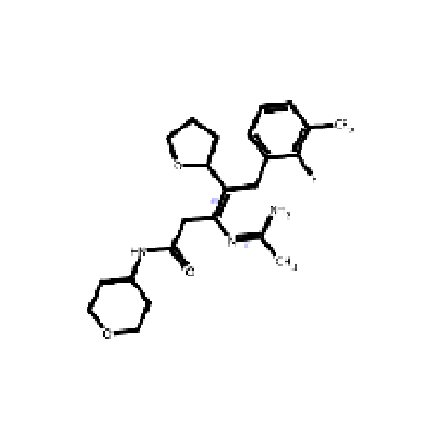 C/C(N)=N/C(CC(=O)NC1CCOCC1)=C(\Cc1cccc(C(F)(F)F)c1F)C1CCCO1